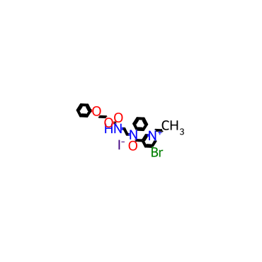 CCC[n+]1cc(Br)cc(C(=O)N(CCNC(=O)OCCOc2ccccc2)c2ccccc2)c1.[I-]